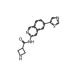 O=C(Nc1cc2cc(-c3cncs3)ccc2cn1)C1CNC1